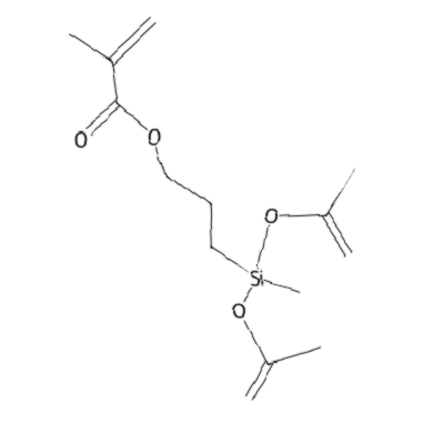 C=C(C)O[Si](C)(CCCOC(=O)C(=C)C)OC(=C)C